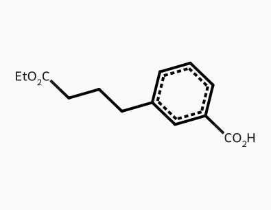 CCOC(=O)CCCc1cccc(C(=O)O)c1